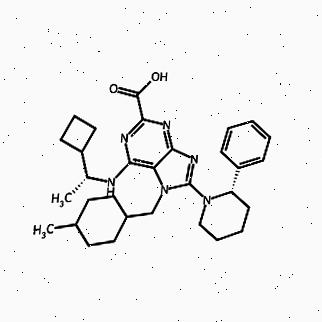 CC1CCC(Cn2c(N3CCCC[C@H]3c3ccccc3)nc3nc(C(=O)O)nc(N[C@H](C)C4CCC4)c32)CC1